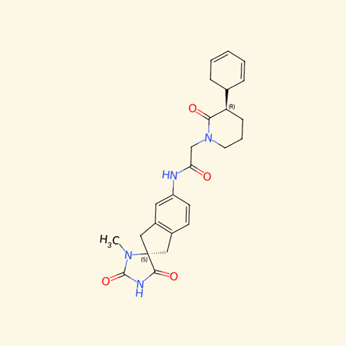 CN1C(=O)NC(=O)[C@@]12Cc1ccc(NC(=O)CN3CCC[C@H](C4C=CC=CC4)C3=O)cc1C2